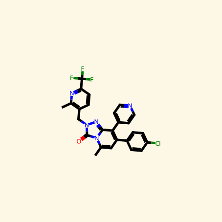 Cc1nc(C(F)(F)F)ccc1Cn1nc2c(-c3ccncc3)c(-c3ccc(Cl)cc3)cc(C)n2c1=O